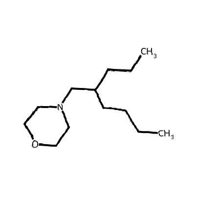 CCCCC(CCC)CN1CCOCC1